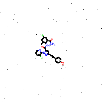 Cc1cc(Cl)cc(C(N)=O)c1NC(=O)c1cc(C#Cc2ccc(OC(F)(F)F)cc2)nn1-c1ncccc1Cl